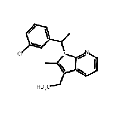 Cc1c(CC(=O)O)c2cccnc2n1C(C)c1cccc(Cl)c1